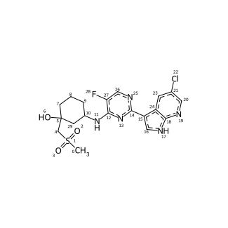 CS(=O)(=O)CC1(O)CCCC(Nc2nc(-c3c[nH]c4ncc(Cl)cc34)ncc2F)C1